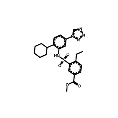 CCc1ccc(C(=O)OC)cc1S(=O)(=O)Nc1cc(-n2cnnn2)ccc1C1CCCCC1